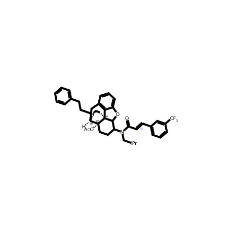 CC(=O)O[C@@]12CCC(N(CC(C)C)C(=O)/C=C/c3cccc(C(F)(F)F)c3)C3Oc4cccc5c4[C@@]31CCN(CCc1ccccc1)[C@@H]2C5